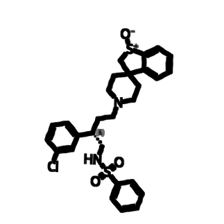 O=S(=O)(NC[C@@H](CCN1CCC2(CC1)C[S+]([O-])c1ccccc12)c1cccc(Cl)c1)c1ccccc1